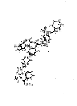 CC(C)c1ccccc1[C@@H]1CCCN1C1CC2(CCN(c3ccc(C(=O)NS(=O)(=O)c4cnc(NCC5CCCCC5)c([N+](=O)[O-])c4)c(N4CCOc5nc6[nH]ccc6cc54)c3)CC2)C1